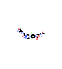 CC(=O)NC[C@H]1CN(c2cc(F)c(N3CCNN(C(=O)CNCc4cnoc4)CC3)c(F)c2)C(=O)O1